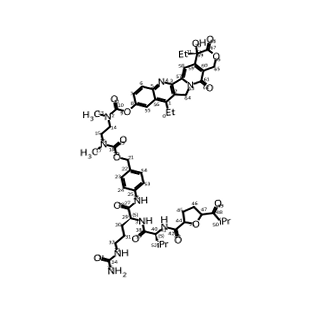 CCc1c2c(nc3ccc(OC(=O)N(C)CCN(C)C(=O)OCc4ccc(NC(=O)[C@H](CCCNC(N)=O)NC(=O)[C@@H](NC(=O)C5CCC(C(=O)C(C)C)O5)C(C)C)cc4)cc13)-c1cc3c(c(=O)n1C2)COC(=O)[C@]3(O)CC